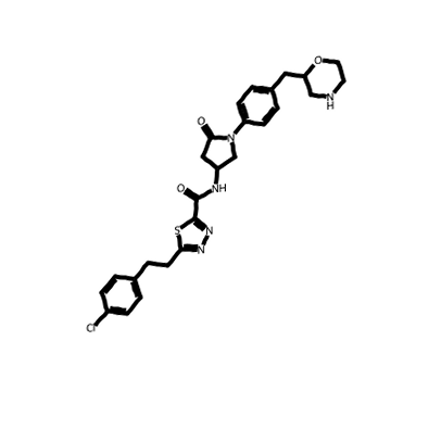 O=C(NC1CC(=O)N(c2ccc(CC3CNCCO3)cc2)C1)c1nnc(CCc2ccc(Cl)cc2)s1